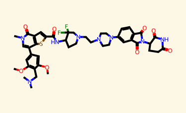 COc1cc(-c2cn(C)c(=O)c3cc(C(=O)NC4CCN(CCN5CCN(c6ccc7c(c6)C(=O)N(C6CCC(=O)NC6=O)C7=O)CC5)CC4(F)F)sc23)cc(OC)c1CN(C)C